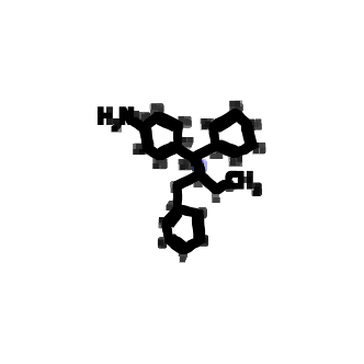 CC/C(Cc1ccccc1)=C(\c1ccccc1)c1ccc(N)cc1